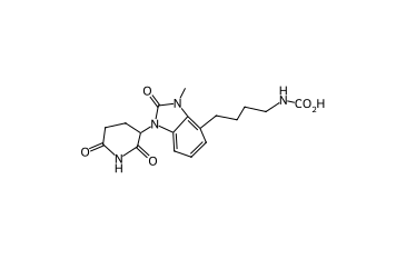 Cn1c(=O)n(C2CCC(=O)NC2=O)c2cccc(CCCCNC(=O)O)c21